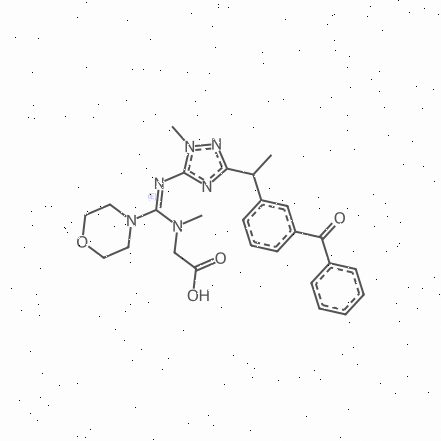 CC(c1cccc(C(=O)c2ccccc2)c1)c1nc(/N=C(\N(C)CC(=O)O)N2CCOCC2)n(C)n1